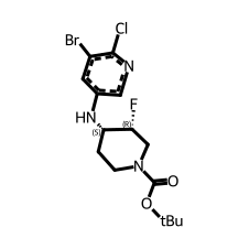 CC(C)(C)OC(=O)N1CC[C@H](Nc2cnc(Cl)c(Br)c2)[C@H](F)C1